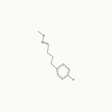 CON=CCCCc1ccc(F)cc1